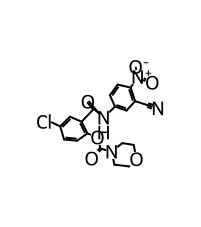 N#Cc1cc(NC(=O)c2cc(Cl)ccc2OC(=O)N2CCOCC2)ccc1[N+](=O)[O-]